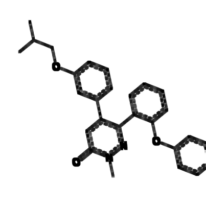 CC(C)COc1cccc(-c2cc(=O)n(C)nc2-c2ccccc2Oc2ccccc2)c1